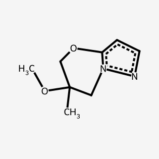 COC1(C)COc2ccnn2C1